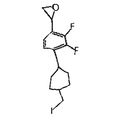 Fc1c(C2CCC(CI)CC2)ccc(C2CO2)c1F